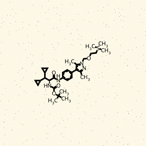 Cc1nn(COCCS(C)(C)C)c(C)c1-c1ccc(NC(=O)[C@@H](NC(=O)OC(C)(C)C)C(C2CC2)C2CC2)cc1